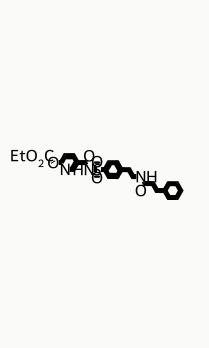 CCOC(=O)Oc1ccc(C(=O)NS(=O)(=O)c2ccc(CCNC(=O)CCC3CCCCC3)cc2)cn1